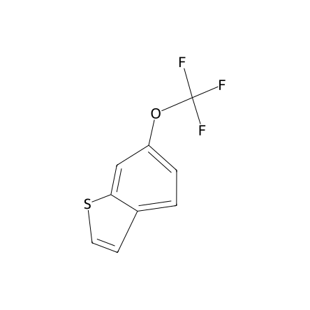 FC(F)(F)Oc1ccc2ccsc2c1